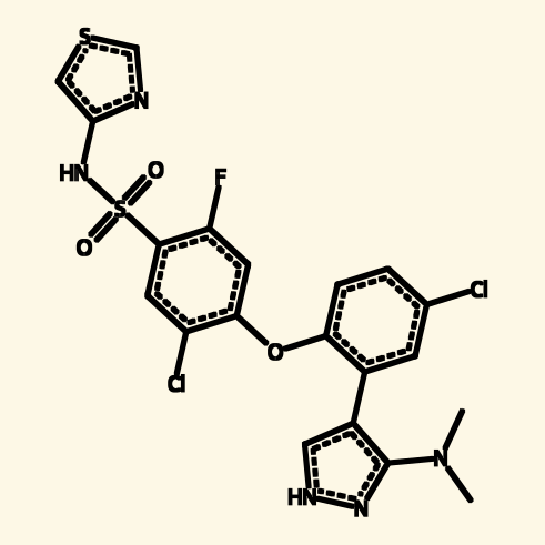 CN(C)c1n[nH]cc1-c1cc(Cl)ccc1Oc1cc(F)c(S(=O)(=O)Nc2cscn2)cc1Cl